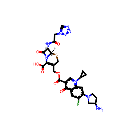 NC1CCN(c2cc3c(cc2F)c(=O)c(C(=O)OCC2=C(C(=O)O)N4C(=O)[C@@H](NC(=O)Cn5cnnn5)[C@H]4SC2)cn3C2CC2)C1